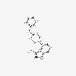 CCc1noc2cccc(N3CCN(Cc4ccccc4)CC3)c12